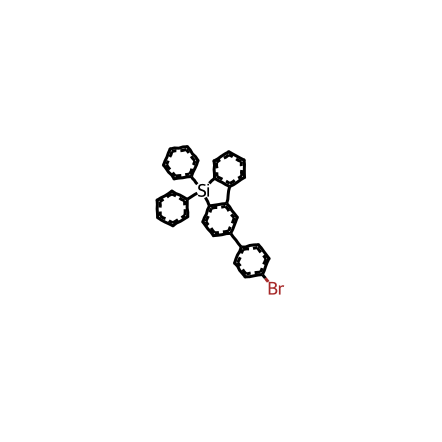 Brc1ccc(-c2ccc3c(c2)-c2ccccc2[Si]3(c2ccccc2)c2ccccc2)cc1